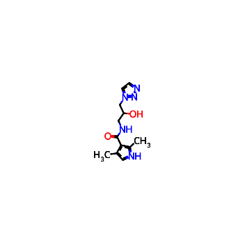 Cc1c[nH]c(C)c1C(=O)NCC(O)Cn1ccnn1